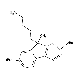 CC(C)(C)c1ccc2c(c1)C(C)(CCCCN)c1cc(C(C)(C)C)ccc1-2